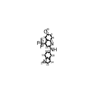 COc1ccc2nc(Nc3ccc4c(ccn4C)c3)cc(C(F)(F)F)c2c1